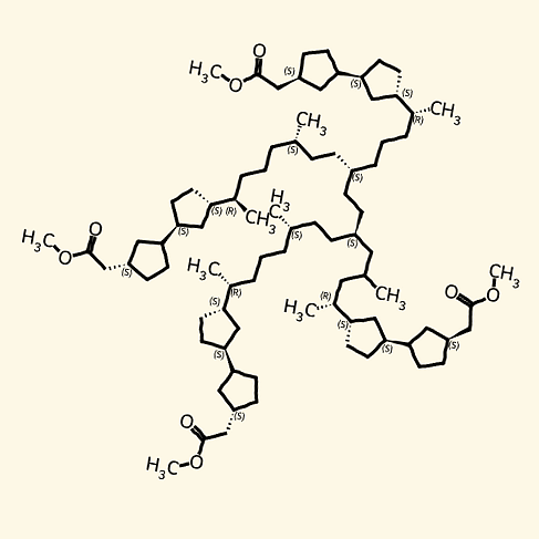 COC(=O)C[C@H]1CCC([C@H]2CC[C@H]([C@H](C)CCC[C@H](C)CC[C@H](CCC[C@@H](C)[C@H]3CC[C@H](C4CC[C@H](CC(=O)OC)C4)C3)CC[C@H](CC[C@@H](C)CCC[C@@H](C)[C@H]3CC[C@H](C4CC[C@H](CC(=O)OC)C4)C3)CC(C)C[C@@H](C)[C@H]3CC[C@H](C4CC[C@H](CC(=O)OC)C4)C3)C2)C1